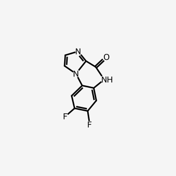 O=c1[nH]c2cc(F)c(F)cc2n2ccnc12